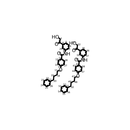 O=C(CO)c1cccc(NC(=O)c2ccc(OCCCCc3ccccc3)cc2)c1.O=C(CO)c1cccc(NC(=O)c2ccc(OCCCCc3ccccc3)cc2)c1